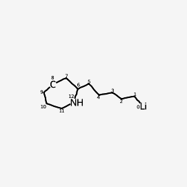 [Li][CH2]CCCCC1CCCCCN1